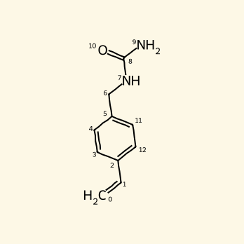 C=Cc1ccc(CNC(N)=O)cc1